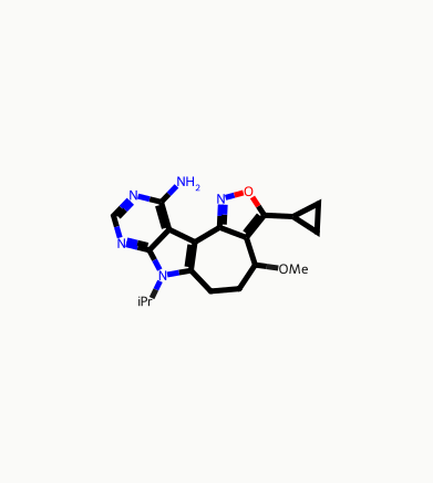 COC1CCc2c(c3c(N)ncnc3n2C(C)C)-c2noc(C3CC3)c21